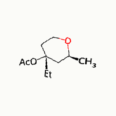 CC[C@@]1(OC(C)=O)CCO[C@@H](C)C1